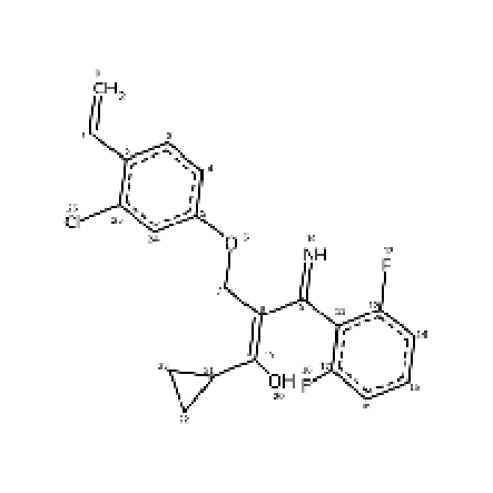 C=Cc1ccc(OC/C(C(=N)c2c(F)cccc2F)=C(/O)C2CC2)cc1Cl